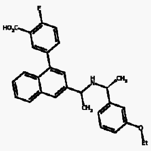 CCOc1cccc([C@@H](C)NC(C)c2cc(-c3ccc(F)c(C(=O)O)c3)c3ccccc3c2)c1